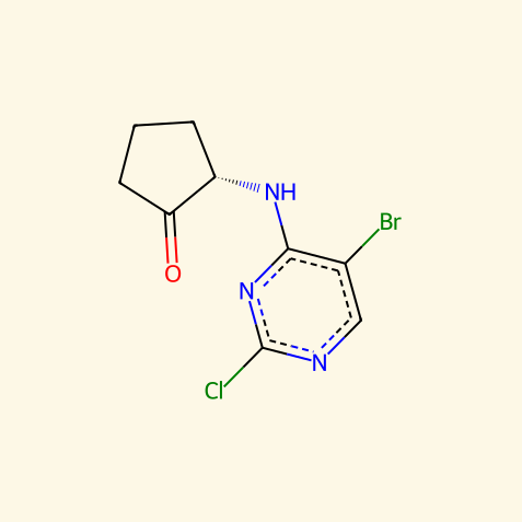 O=C1CCC[C@@H]1Nc1nc(Cl)ncc1Br